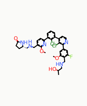 COc1cc(-c2nccc(-c3cccc(-c4ccc(CNC[C@@H]5CCC(=O)N5)c(OC)n4)c3Cl)c2Cl)cc(F)c1CNCC(C)O